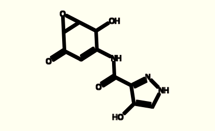 O=C(NC1=CC(=O)C2OC2C1O)c1n[nH]cc1O